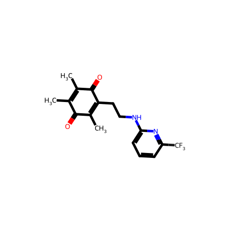 CC1=C(C)C(=O)C(CCNc2cccc(C(F)(F)F)n2)=C(C)C1=O